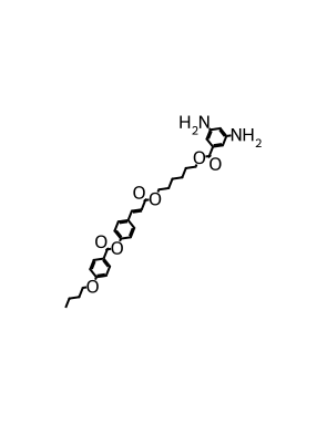 CCCCOc1ccc(C(=O)Oc2ccc(C=CC(=O)OCCCCCCOC(=O)c3cc(N)cc(N)c3)cc2)cc1